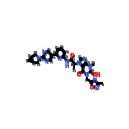 Cc1noc(CN2C(=O)c3c(ncn3[C@@H](C)C(=O)Nc3cccc(-c4cnc(N5CC6CC6C5)nc4)n3)N(C)C2O)n1